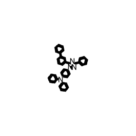 c1ccc(-c2cccc(-c3nc(-c4ccccc4)nn3-c3ccc(N(c4ccccc4)c4ccccc4)cc3)c2)cc1